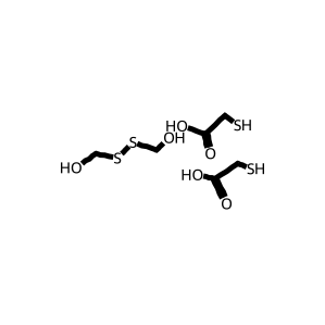 O=C(O)CS.O=C(O)CS.OCSSCO